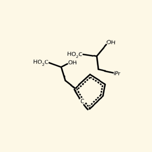 CC(C)CC(O)C(=O)O.O=C(O)C(O)Cc1ccccc1